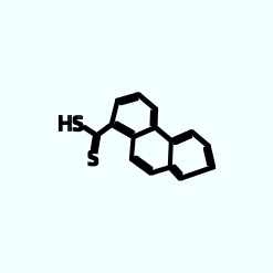 S=C(S)c1cccc2c1ccc1ccccc12